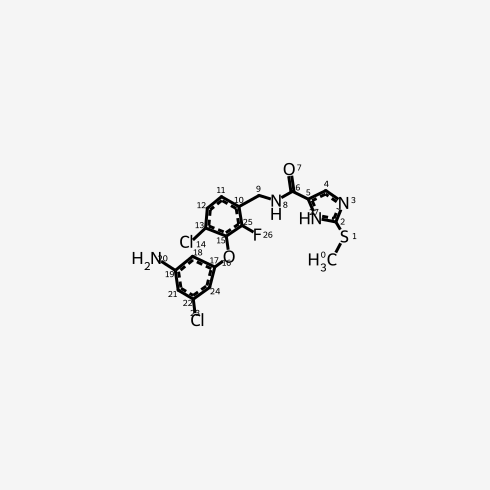 CSc1ncc(C(=O)NCc2ccc(Cl)c(Oc3cc(N)cc(Cl)c3)c2F)[nH]1